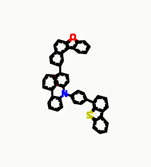 c1ccc(-c2ccccc2N(c2ccc(-c3ccc4ccc5oc6ccccc6c5c4c3)cc2)c2ccc(-c3cccc4c3sc3ccccc34)cc2)cc1